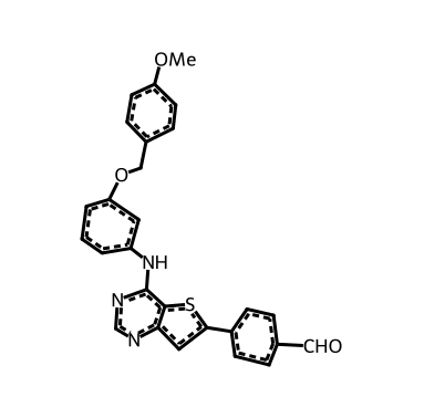 COc1ccc(COc2cccc(Nc3ncnc4cc(-c5ccc(C=O)cc5)sc34)c2)cc1